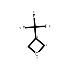 FC(F)(F)[C]1COC1